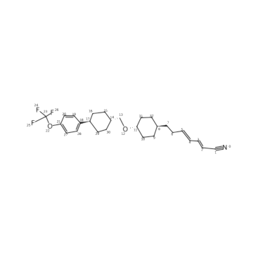 N#CC=CC=CCC[C@H]1CC[C@H](OC[C@H]2CC[C@H](c3ccc(OC(F)(F)F)cc3)CC2)CC1